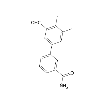 Cc1cc(-c2cccc(C(N)=O)c2)cc(C=O)c1C